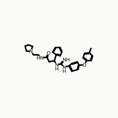 Cc1ccc(Oc2ccc(NC(=N)NC(CC(=O)NCCN3CCCC3)c3ccccc3)cc2)cc1